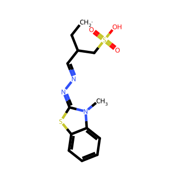 [CH2]CC(C=NN=c1sc2ccccc2n1C)CS(=O)(=O)O